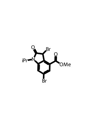 COC(=O)c1cc(Br)cc2c1C(Br)C(=O)N2C(C)C